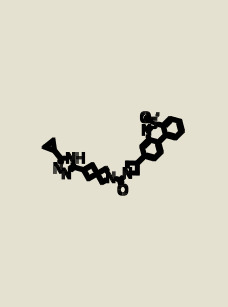 C[S@@]1(=O)=Nc2cc(C3CN(C(=O)N4CC5(CC(c6nnc(C7CC7)[nH]6)C5)C4)C3)ccc2-c2ccccc21